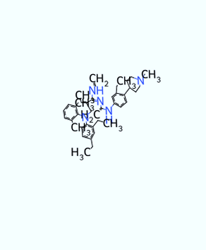 C=CNC(=N/C(=C)Nc1ccc(C2CCN(C)CC2)c(CC)c1)/C(=C\C)CN(c1ccc(CC)cc1CC)c1c(C)cccc1C